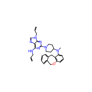 C=CCNc1nc(N2CCC(N(C)c3cccc4c3Cc3ccccc3CO4)CC2)nc2c1ncn2CC=C